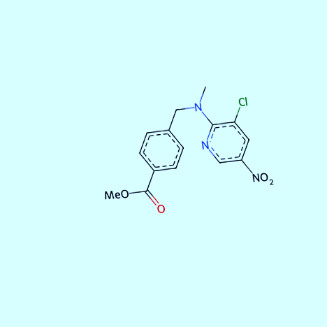 COC(=O)c1ccc(CN(C)c2ncc([N+](=O)[O-])cc2Cl)cc1